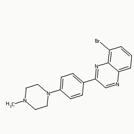 CN1CCN(c2ccc(-c3cnc4cccc(Br)c4n3)cc2)CC1